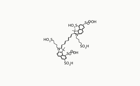 CC1(C)C(/C=C/C=C/C=C/C=C2/N(CCCCS(=O)(=O)O)c3ccc4cc(S(=O)(=O)O)cc(SOOO)c4c3C2(C)C)=[N+](CCCCS(=O)(=O)O)c2ccc3cc(SOOO)cc(S(=O)(=O)O)c3c21